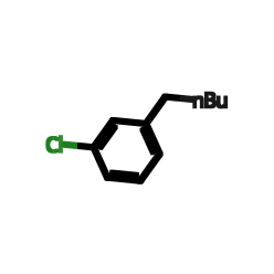 [CH2]CCCCc1cccc(Cl)c1